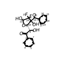 O=C(c1ccccc1)C(O)[C@@H]1OC(O)C(F)(F)[C@]1(O)C(=O)c1ccccc1